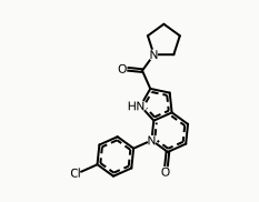 O=C(c1cc2ccc(=O)n(-c3ccc(Cl)cc3)c2[nH]1)N1CCCC1